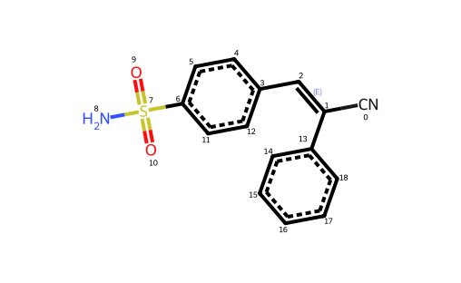 N#C/C(=C/c1ccc(S(N)(=O)=O)cc1)c1ccccc1